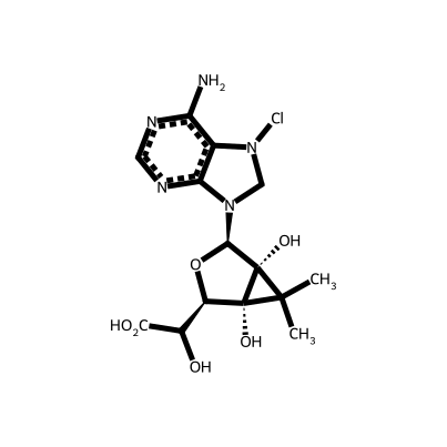 CC1(C)[C@]2(O)[C@H](N3CN(Cl)c4c(N)ncnc43)O[C@H](C(O)C(=O)O)[C@]12O